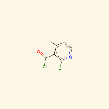 O=C(Cl)c1c(I)ccnc1F